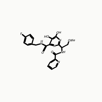 COCC(NC(=O)c1ccccn1)c1nc(O)c(O)c(C(=O)NCc2ccc(F)cc2)n1